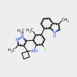 Cc1nn(C)c2c1C1(CCC1)Nc1c(F)cc(-c3cccc4c(C)c[nH]c34)c(C)c1-2